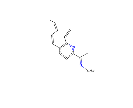 C=Cc1nc(/C(C)=N/NC)ccc1/C=C\C=C/C